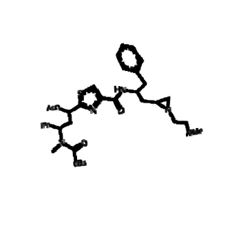 CCCCC(=O)N(C)C(CC(OC(C)=O)c1nc(C(=O)NC(Cc2ccccc2)CC2CN2CCNC)cs1)C(C)C